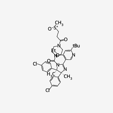 CCOc1cc(C(C)(C)C)ncc1C1=N[C@@](C)(c2ccc(Cl)cc2)[C@@](C)(c2ccc(Cl)cc2)N1C(=O)N1CCN(C(=O)CC[S+](C)[O-])CC1